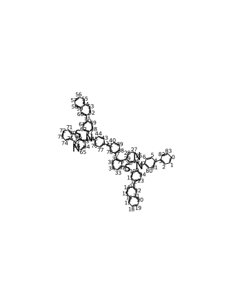 c1ccc(-c2ccc(N(c3ccc(-c4ccc5ccccc5c4)cc3)c3nccc4c3sc3cccc(-c5cccc(-c6ccc(N(c7ccc(-c8ccc9ccccc9c8)cc7)c7ccnc8c7sc7ccccc78)cc6)c5)c34)cc2)cc1